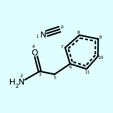 C#N.NC(=O)Cc1ccccc1